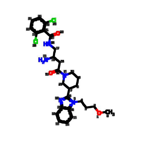 COCCCn1c(C2CCCN(C(=O)CC(N)CNC(=O)c3c(Cl)cccc3Cl)C2)nc2ccccc21